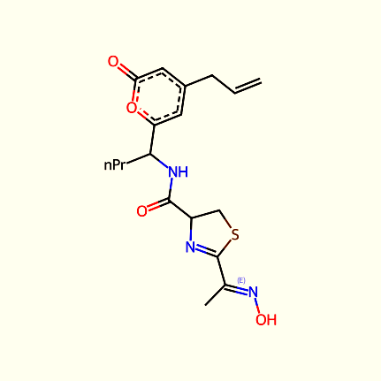 C=CCc1cc(C(CCC)NC(=O)C2CSC(/C(C)=N/O)=N2)oc(=O)c1